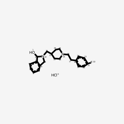 Cl.OC1c2ccccc2CN1CC1CCN(CCc2ccc(F)cc2)CC1